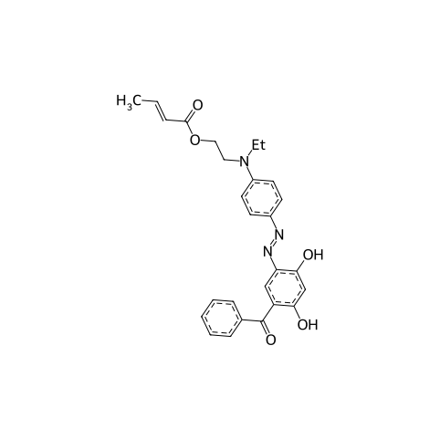 CC=CC(=O)OCCN(CC)c1ccc(N=Nc2cc(C(=O)c3ccccc3)c(O)cc2O)cc1